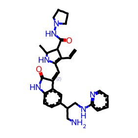 C=CC1=C(/C=C2\C(=O)Nc3ccc(C(CN)CNc4ccccn4)cc32)NC(C)C1C(=O)NN1CCCC1